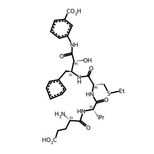 CCSC[C@H](NC(=O)[C@@H](NC(=O)[C@@H](N)CCC(=O)O)C(C)C)C(=O)N[C@@H](Cc1ccccc1)[C@@H](O)C(=O)Nc1cccc(C(=O)O)c1